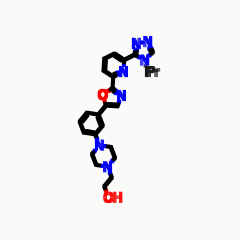 CC(C)n1cnnc1-c1cccc(-c2ncc(-c3cccc(N4CCN(CCO)CC4)c3)o2)n1